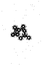 c1ccc(-c2cc(-c3ccccc3)nc(-c3ccc4c5ccccc5n(-c5cc(-c6cccc7c6oc6ccccc67)c6oc7ccccc7c6c5)c4c3)n2)cc1